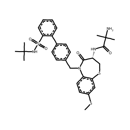 CSc1ccc2c(c1)SC[C@@H](NC(=O)C(C)(C)N)C(=O)N2Cc1ccc(-c2ccccc2S(=O)(=O)NC(C)(C)C)cc1